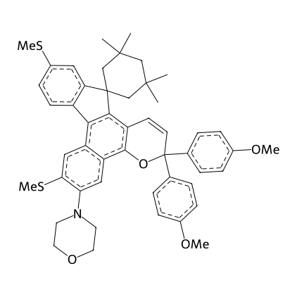 COc1ccc(C2(c3ccc(OC)cc3)C=Cc3c4c(c5cc(SC)c(N6CCOCC6)cc5c3O2)-c2ccc(SC)cc2C42CC(C)(C)CC(C)(C)C2)cc1